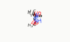 COC(=O)N[C@H]1CCCN(c2nc(-c3ccccc3O)nc3cc(C)ccc23)C1